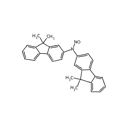 CC1(C)c2ccccc2-c2ccc(N(N=O)c3ccc4c(c3)C(C)(C)c3ccccc3-4)cc21